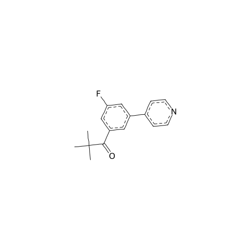 CC(C)(C)C(=O)c1cc(F)cc(-c2ccncc2)c1